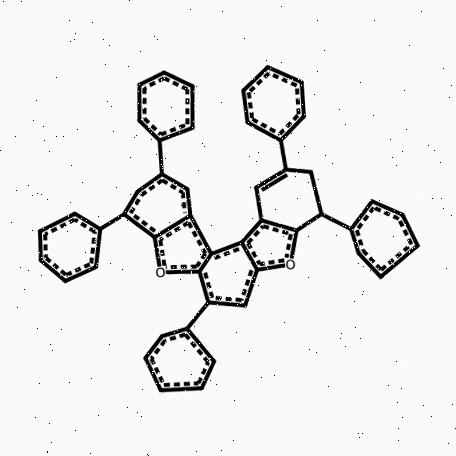 C1=C(c2ccccc2)CC(c2ccccc2)c2oc3cc(-c4ccccc4)c4oc5c(-c6ccccc6)cc(-c6ccccc6)cc5c4c3c21